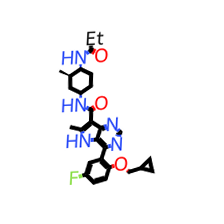 CCC(=O)N[C@H]1CC[C@@H](NC(=O)c2c(C)[nH]c3c(-c4cc(F)ccc4OCC4CC4)ncnc23)C[C@H]1C